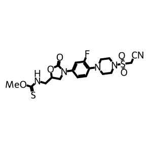 COC(=S)NCC1CN(c2ccc(N3CCN(S(=O)(=O)CC#N)CC3)c(F)c2)C(=O)O1